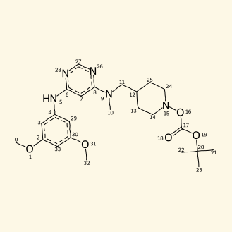 COc1cc(Nc2cc(N(C)CC3CCN(OC(=O)OC(C)(C)C)CC3)ncn2)cc(OC)c1